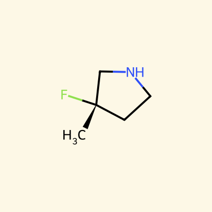 C[C@]1(F)CCNC1